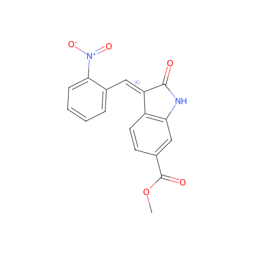 COC(=O)c1ccc2c(c1)NC(=O)/C2=C/c1ccccc1[N+](=O)[O-]